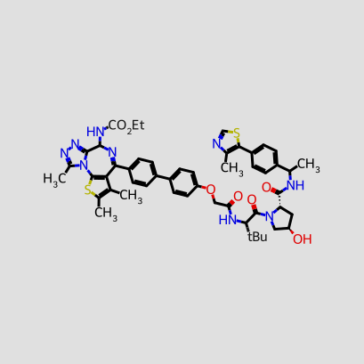 CCOC(=O)NC1N=C(c2ccc(-c3ccc(OCC(=O)NC(C(=O)N4C[C@H](O)C[C@H]4C(=O)NC(C)c4ccc(-c5scnc5C)cc4)C(C)(C)C)cc3)cc2)c2c(sc(C)c2C)-n2c(C)nnc21